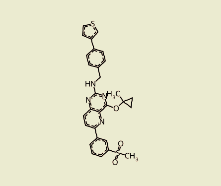 CC1(Oc2nc(NCc3ccc(-c4ccsc4)cc3)nc3ccc(-c4cccc(S(C)(=O)=O)c4)nc23)CC1